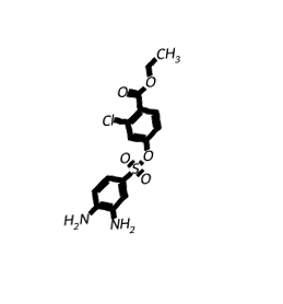 CCOC(=O)c1ccc(OS(=O)(=O)c2ccc(N)c(N)c2)cc1Cl